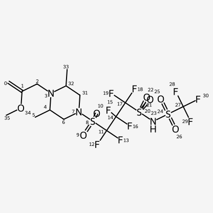 C=C(CN1C(C)CN(S(=O)(=O)C(F)(F)C(F)(F)C(F)(F)S(=O)(=O)NS(=O)(=O)C(F)(F)F)CC1C)OC